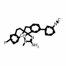 [C-]#[N+]c1cccc(-c2ccc3c(c2)C2(N=C(N)N(C)O2)C2(CCc4cc(F)ccc4C2)C3)c1